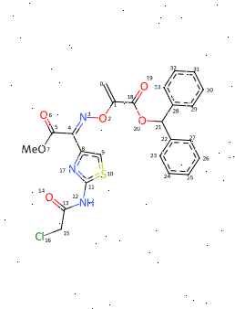 C=C(ON=C(C(=O)OC)c1csc(NC(=O)CCl)n1)C(=O)OC(c1ccccc1)c1ccccc1